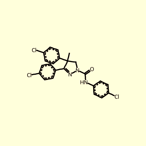 CC1(c2ccc(Cl)cc2)CN(C(=O)Nc2ccc(Cl)cc2)N=C1c1ccc(Cl)cc1